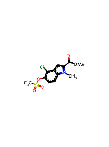 COC(=O)c1cc2c(Cl)c(OS(=O)(=O)C(F)(F)F)ccc2n1C